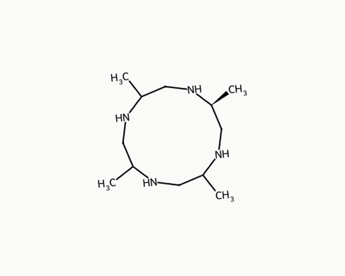 CC1CNC(C)CN[C@@H](C)CNC(C)CN1